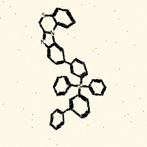 c1ccc(-c2cccc([Si](c3ccccc3)(c3ccccc3)c3cccc(-c4ccc5nc6n(c5c4)-c4ccccc4SC6)c3)c2)cc1